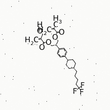 C=C(C)C(=O)OCC(COC(=O)C(=C)CO)c1ccc(C2CCC(CCCCC(F)(F)F)CC2)cc1